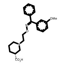 COc1cccc(/C(=N\OCCN2CCC[C@@H](C(=O)O)C2)c2ccccc2)c1